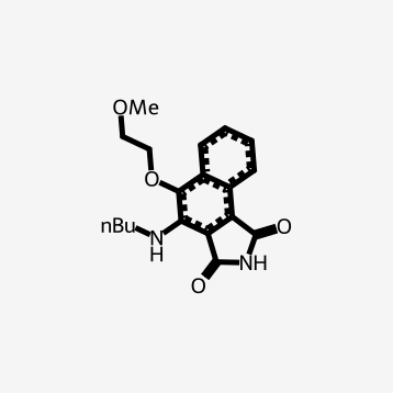 CCCCNc1c2c(c3ccccc3c1OCCOC)C(=O)NC2=O